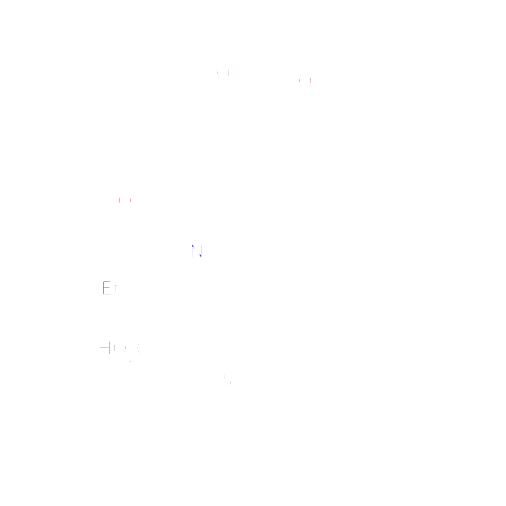 CCC(=O)N(c1ccc2c(c1)OCO2)c1cc(C2=CCCCC2)sc1C(=O)O